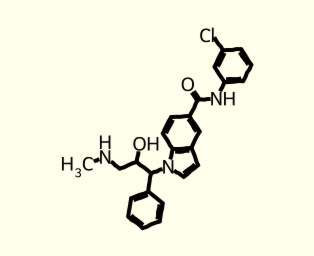 CNCC(O)C(c1ccccc1)n1ccc2cc(C(=O)Nc3cccc(Cl)c3)ccc21